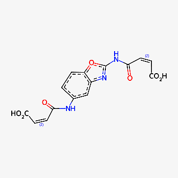 O=C(O)/C=C\C(=O)Nc1ccc2oc(NC(=O)/C=C\C(=O)O)nc2c1